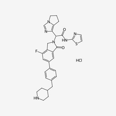 Cl.O=C(Nc1nccs1)C(c1ncn2c1CCC2)N1Cc2c(F)cc(-c3ccc(CC4CCNCC4)cc3)cc2C1=O